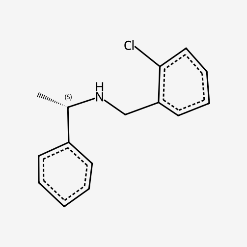 C[C@H](NCc1ccccc1Cl)c1ccccc1